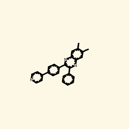 Cc1cc2nc(-c3ccccc3)c(-c3ccc(-c4ccncc4)cc3)nc2cc1C